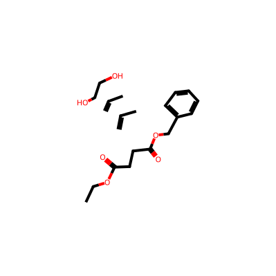 C=CC.C=CC.CCOC(=O)CCC(=O)OCc1ccccc1.OCCO